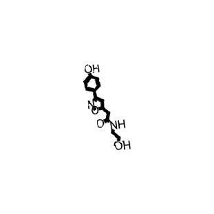 O=C(CC1CC(c2ccc(O)cc2)=NO1)NCCO